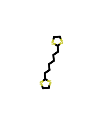 C(CCCC1SCCS1)CCC1SCCS1